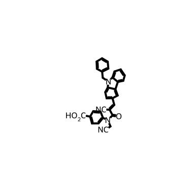 N#CCN(C(=O)/C(C#N)=C/c1ccc2c(c1)c1ccccc1n2Cc1ccccc1)c1ccc(C(=O)O)cc1